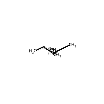 CCCCCCCC/C=C\CCCCCC(CC(=O)NC(CC)OC(=O)CCCCCCCCCCCCCCC)C(C)=O